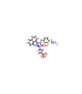 NSc1ccc(CC2=C(O)N(c3nc(C(=O)O)cs3)NC2c2cccc3ccccc23)cc1